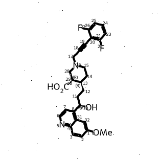 COc1ccc2nccc([C@H](O)CC[C@@H]3CCN(CC#Cc4c(F)cccc4F)C[C@@H]3C(=O)O)c2c1